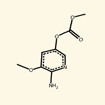 COC(=O)Oc1cnc(N)c(OC)c1